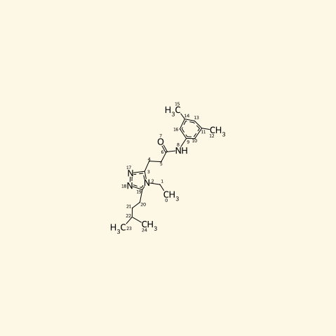 CCn1c(CCC(=O)Nc2cc(C)cc(C)c2)nnc1CCC(C)C